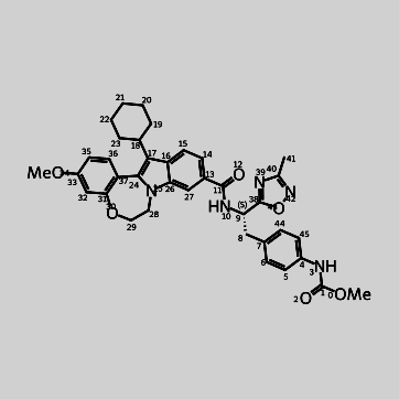 COC(=O)Nc1ccc(C[C@H](NC(=O)c2ccc3c(C4CCCCC4)c4n(c3c2)CCOc2cc(OC)ccc2-4)c2nc(C)no2)cc1